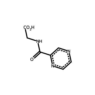 O=C(O)CNC(=O)c1cnccn1